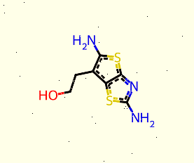 Nc1nc2sc(N)c(CCO)c2s1